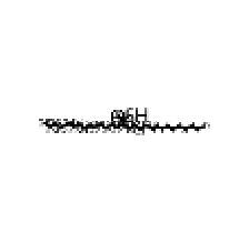 CCCCCCCCCCCCCCC(CCCCCCCCCCCCCC)C(=O)S